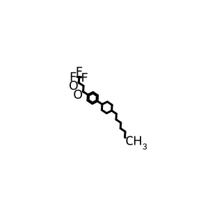 CCCCCCCC1CCC(c2ccc(C(=O)CC(=O)C(F)(F)F)cc2)CC1